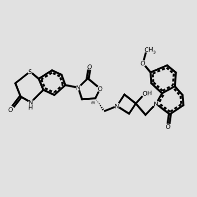 COc1ccc2ccc(=O)n(CC3(O)CN(C[C@@H]4CN(c5ccc6c(c5)NC(=O)CS6)C(=O)O4)C3)c2c1